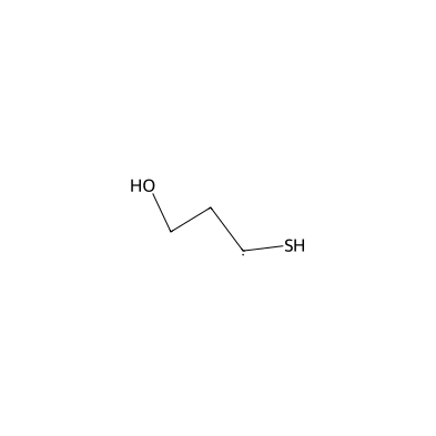 OCC[CH]S